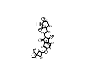 CCC1(CC)CC(Oc2ccc3c(c2)C(=O)C(CCC2CCC(=O)NC2=O)C3=O)C1